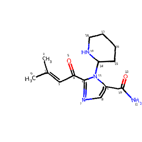 CC(C)=CC(=O)c1ncc(C(N)=O)n1C1CCCCN1